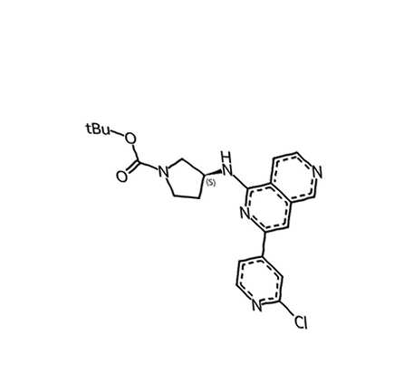 CC(C)(C)OC(=O)N1CC[C@H](Nc2nc(-c3ccnc(Cl)c3)cc3cnccc23)C1